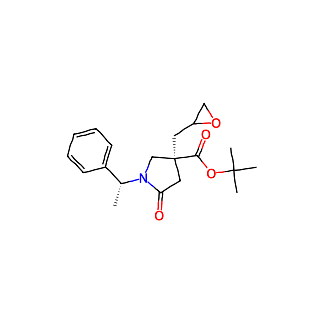 C[C@H](c1ccccc1)N1C[C@@](CC2CO2)(C(=O)OC(C)(C)C)CC1=O